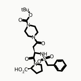 CC(C)(C)OC(=O)N1CCN(C(=O)C[C@@H](NS(=O)(=O)Cc2ccccc2)C(=O)N2CCC[C@H]2C(=O)O)CC1